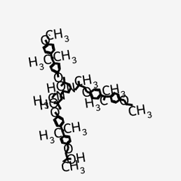 CCCOc1ccc(C(C)(C)c2ccc(OCC(C)CN(CCN(CC)CC(O)COc3ccc(C(C)(C)c4ccc(OCC(O)CC)cc4)cc3)CC(O)COc3ccc(C(C)(C)c4ccc(OC)cc4)cc3)cc2)cc1